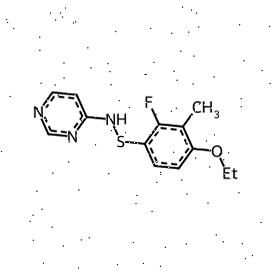 CCOc1ccc(SNc2ccncn2)c(F)c1C